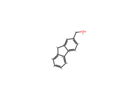 OCc1ccc2c(c1)Cc1ccccc1-2